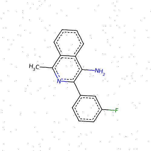 Cc1nc(-c2cccc(F)c2)c(N)c2ccccc12